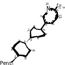 CCCCC[C@H]1CC[C@H](C2CCC(c3ccc(C(F)(F)F)nc3)CC2)CC1